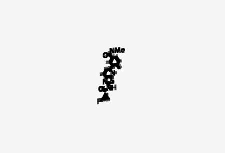 CNC(=O)c1ccc(C)c(-c2ccc3nc(NC(=O)[C@@H]4C[C@@H]4F)sc3n2)c1